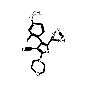 COc1ccc(-c2c(-c3nnc[nH]3)sc(N3CCOCC3)c2C#N)c(I)c1